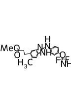 COC(=O)CCc1cc2nc(Nc3ccc(OC(N)(F)F)cc3)[nH]c2cc1C